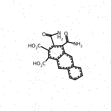 NC(=O)c1c(C(=O)O)c(C(=O)O)c2cc3ccccc3cc2c1C(N)=O